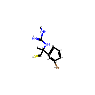 CNC(=N)NC(C)(C=S)c1cccc(Br)c1